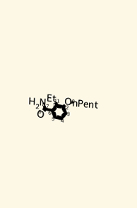 CCCCCOc1cccc(C(N)=O)c1CC